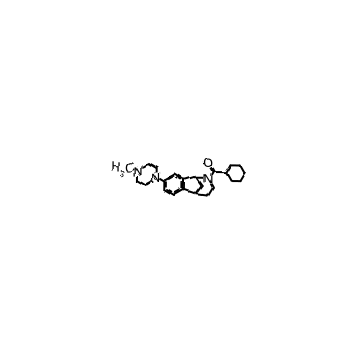 CN1CCN(c2ccc3c(c2)C2CC3CCN2C(=O)C2CCCCC2)CC1